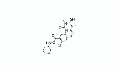 CN1C(=O)N(c2cc(C(=O)ONC3CCCCC3)c(Cl)cc2F)C(=O)N(C)C1S